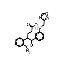 Cc1ccccc1C(CCC(=O)O)C(=O)c1cccc(OCc2ncon2)c1